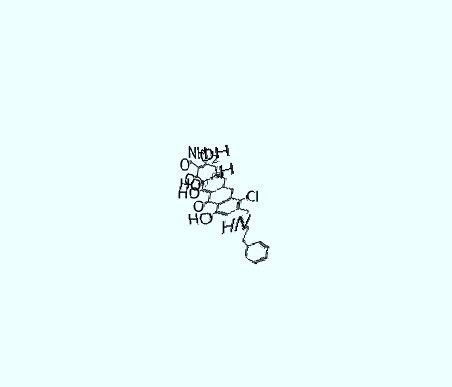 NC(=O)C1=C(O)C[C@@H]2CC3Cc4c(Cl)c(CNCCc5ccccc5)cc(O)c4C(=O)C3=C(O)[C@]2(O)C1=O